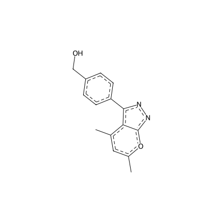 Cc1cc(C)c2c(-c3ccc(CO)cc3)nnc-2o1